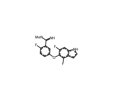 CNC(=N)c1cc(Oc2c(F)cc3[nH]ccc3c2F)ccc1F